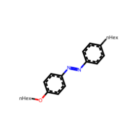 [CH2]CCCCCOc1ccc(N=Nc2ccc(CCCCCC)cc2)cc1